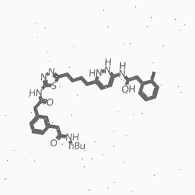 CCCCNC(=O)Cc1cccc(CC(=O)Nc2nnc(CCCCC3=CC=C(NC(O)CC4C=CC=CC4C)NN3)s2)c1